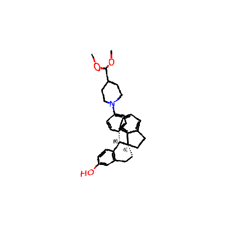 COC(OC)C1CCN(c2ccc([C@H]3c4ccc(O)cc4CC[C@]34CCc3ccccc34)cc2)CC1